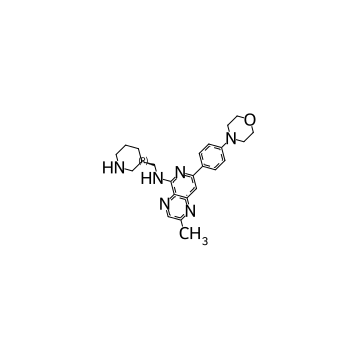 Cc1cnc2c(NC[C@@H]3CCCNC3)nc(-c3ccc(N4CCOCC4)cc3)cc2n1